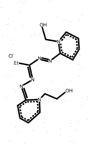 CCC(N=Nc1cccc[n+]1CO)=NN=c1ccccn1CCO.[Cl-]